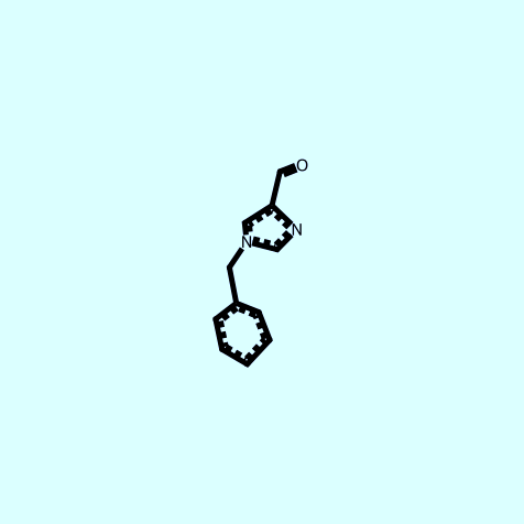 O=Cc1cn(Cc2ccccc2)cn1